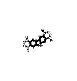 O=[N+]([O-])c1cc2[nH]c3cc([N+](=O)[O-])c([N+](=O)[O-])cc3c2cc1[N+](=O)[O-]